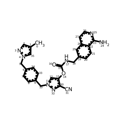 Cc1cnn(Cc2ccc(Cn3cc(OC(=O)NCc4ccc5c(N)nccc5c4)c(C#N)n3)cc2)c1